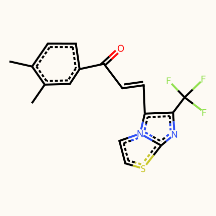 Cc1ccc(C(=O)C=Cc2c(C(F)(F)F)nc3sccn23)cc1C